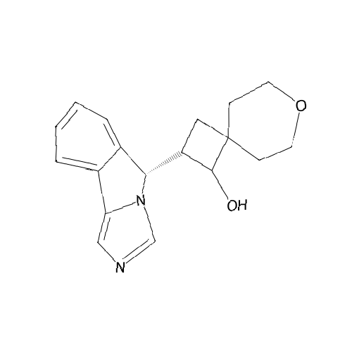 OC1C([C@H]2c3ccccc3-c3cncn32)CC12CCOCC2